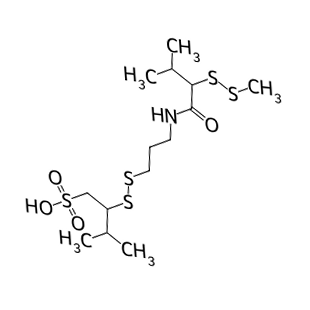 CSSC(C(=O)NCCCSSC(CS(=O)(=O)O)C(C)C)C(C)C